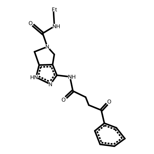 CCNC(=O)N1Cc2[nH]nc(NC(=O)CCC(=O)c3ccccc3)c2C1